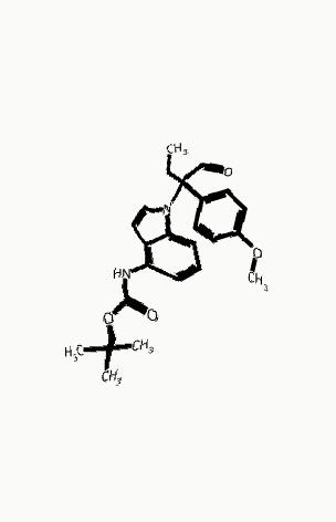 CCC(C=O)(c1ccc(OC)cc1)n1ccc2c(NC(=O)OC(C)(C)C)cccc21